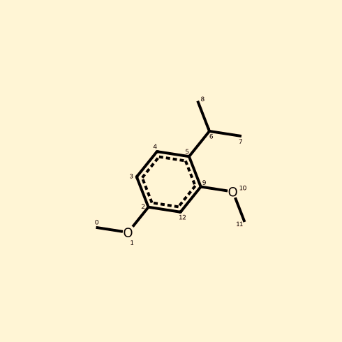 COc1ccc([C](C)C)c(OC)c1